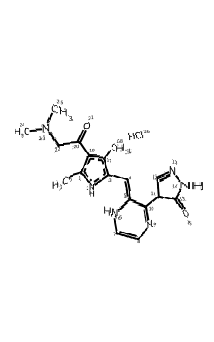 Cc1[nH]c(C=C2NC=CN=C2C2C=NNC2=O)c(C)c1C(=O)CN(C)C.Cl